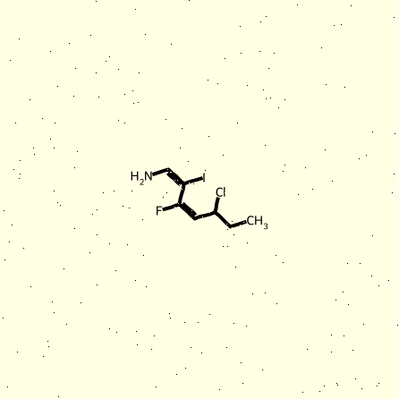 CCC(Cl)/C=C(F)\C(I)=C/N